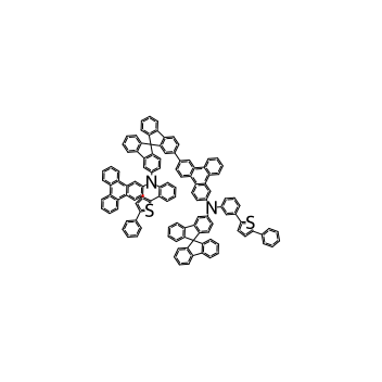 c1ccc(-c2ccc(-c3cccc(N(c4ccc5c(c4)-c4ccccc4C54c5ccccc5-c5ccccc54)c4ccc5c6ccc(-c7ccc8c(c7)C7(c9ccccc9-c9cc(N(c%10ccc%11c%12ccccc%12c%12ccccc%12c%11c%10)c%10ccccc%10-c%10ccc(-c%11ccccc%11)s%10)ccc97)c7ccccc7-8)cc6c6ccccc6c5c4)c3)s2)cc1